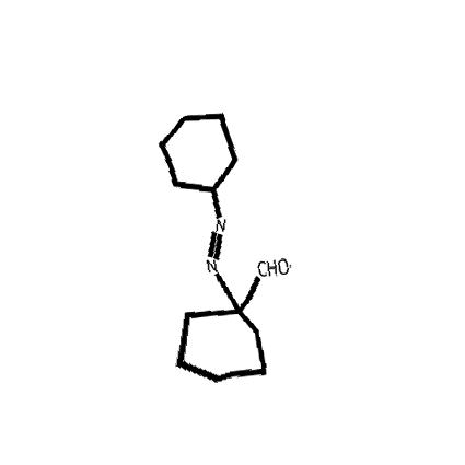 O=[C]C1(N=NC2CCCCC2)CCCCC1